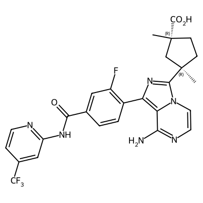 C[C@@]1(C(=O)O)CC[C@@](C)(c2nc(-c3ccc(C(=O)Nc4cc(C(F)(F)F)ccn4)cc3F)c3c(N)nccn23)C1